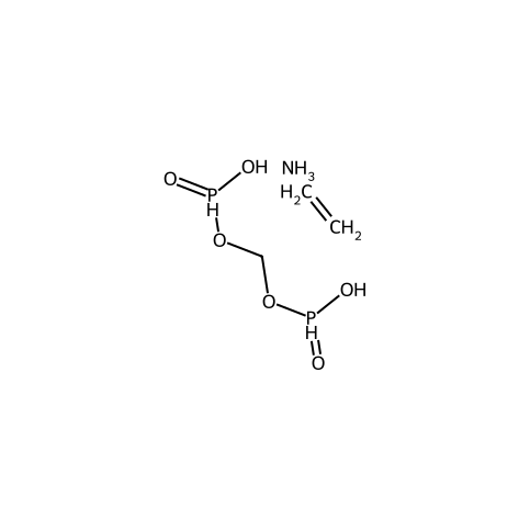 C=C.N.O=[PH](O)OCO[PH](=O)O